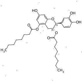 CCCCCCCC(=O)Oc1cc(O)cc2c1C[C@@H](OC(=O)CCCCCCC)[C@H](c1ccc(O)c(O)c1)O2